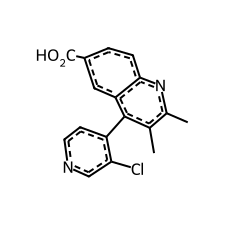 Cc1nc2ccc(C(=O)O)cc2c(-c2ccncc2Cl)c1C